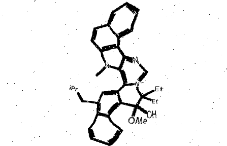 CCC1(CC)[n+]2cnc3c4c5ccccc5ccc4n(C)c3c2-c2cc(CC(C)C)c3ccccc3c2C1(O)OC